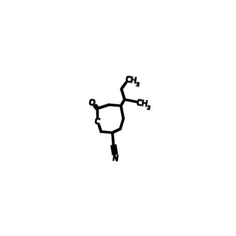 CCC(C)C1CCC(C#N)CCC(=O)C1